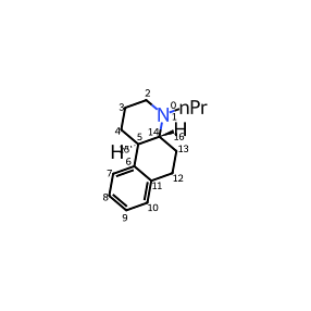 CCCN1CCC[C@@H]2c3ccccc3CC[C@H]21